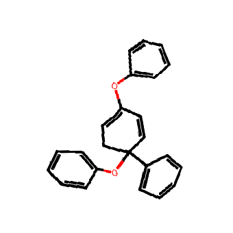 C1=CC(Oc2ccccc2)(c2ccccc2)CC=C1Oc1ccccc1